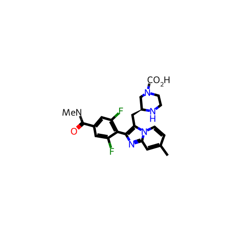 CNC(=O)c1cc(F)c(-c2nc3cc(C)ccn3c2C[C@H]2CN(C(=O)O)CCN2)c(F)c1